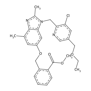 CCOCc1cnc(Cn2c(C)nc3c(C)cc(OCc4ccccc4C(=O)OC)cc32)c(Cl)c1